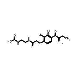 C=C(CC)C(=O)c1ccc(OCC(=O)NCCNC(=O)O)c(Cl)c1Cl